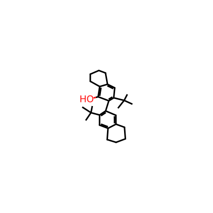 CC(C)(C)c1cc2c(cc1-c1c(C(C)(C)C)cc3c(c1O)CCCC3)CCCC2